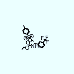 CCOC(=O)N[C@H](COS(=O)(=O)c1ccc(C)cc1)c1cccc(C(F)(F)F)c1